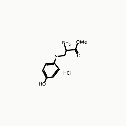 COC(=O)C(N)CSc1ccc(O)cc1.Cl